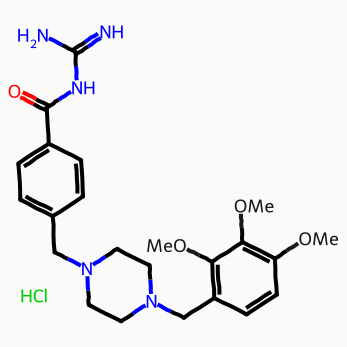 COc1ccc(CN2CCN(Cc3ccc(C(=O)NC(=N)N)cc3)CC2)c(OC)c1OC.Cl